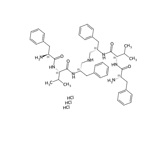 CC(C)[C@H](NC(=O)[C@@H](N)Cc1ccccc1)C(=O)N[C@H](CNC[C@H](Cc1ccccc1)NC(=O)[C@@H](NC(=O)[C@@H](N)Cc1ccccc1)C(C)C)Cc1ccccc1.Cl.Cl.Cl